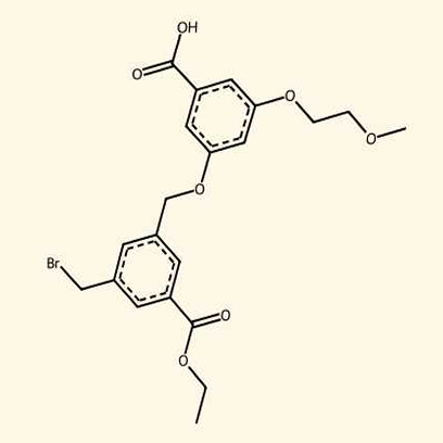 CCOC(=O)c1cc(CBr)cc(COc2cc(OCCOC)cc(C(=O)O)c2)c1